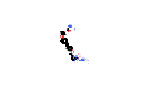 CC(C)(c1ccc(OCc2cccc(C(=O)NN)n2)cc1)c1ccc(OC2CC(OC(N)=O)C2)cc1